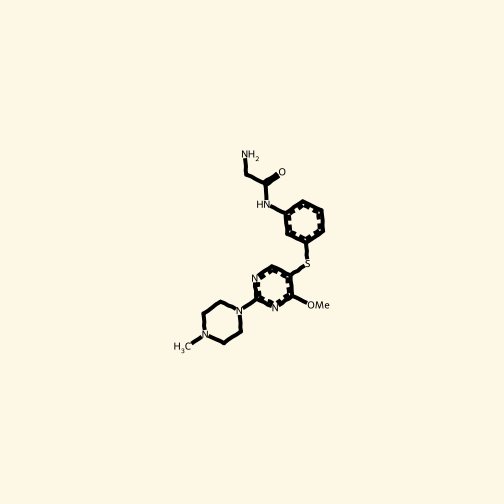 COc1nc(N2CCN(C)CC2)ncc1Sc1cccc(NC(=O)CN)c1